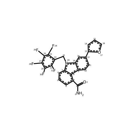 NC(=O)c1cccc2c1c1[c]cc(-c3ccco3)cc1n2Cc1c(F)c(F)c(F)c(F)c1F